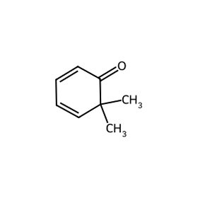 CC1(C)C=CC=CC1=O